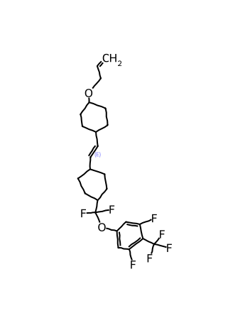 C=CCOC1CCC(/C=C/C2CCC(C(F)(F)Oc3cc(F)c(C(F)(F)F)c(F)c3)CC2)CC1